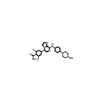 CC(C)N1CCN(c2ccc(Nc3ncc(-c4cc(F)c(C(N)=O)c(F)c4)n4ccnc34)cc2)CC1